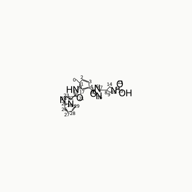 Cc1ccc(-c2nc(C3CN(C(=O)O)C3)no2)cc1NC(=O)c1cnc2ccccn12